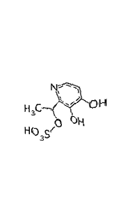 CC(OS(=O)(=O)O)c1nccc(O)c1O